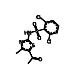 CC(=O)c1sc(NS(=O)(=O)c2c(Cl)cccc2Cl)nc1C